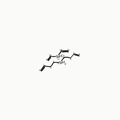 C=CCC[SiH2]CCC=C.C=C[SiH2]C=C